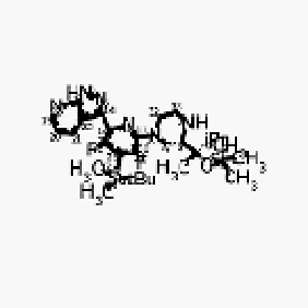 CC(C)[C@@](C)(O[Si](C)(C)C)[C@@H]1CN(c2nc(-c3n[nH]c4ncccc34)c(F)c([Si](C)(C)C(C)(C)C)c2F)CCN1